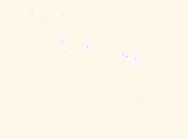 C[C@@H]1[C@H](C)CN2C(=O)c3c(O)c(=O)c(-c4nnc(Cc5ccc(F)cc5F)s4)cn3C[C@H]12